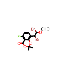 CC1(C)OC(=O)c2c(F)ccc(C(Br)C(Br)OC=O)c2O1